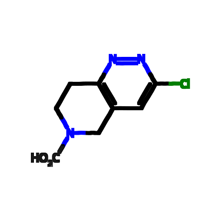 O=C(O)N1CCc2nnc(Cl)cc2C1